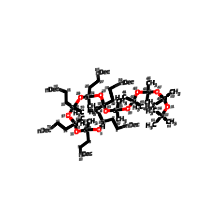 CCCCCCCCCCCC[SiH](C)O[Si](C)(CCCCCCCCCCCC)O[Si](C)(CCCCCCCCCCCC)O[Si](C)(CCCCCCCCCCCC)O[Si](C)(CCCCCCCCCCCC)O[Si](C)(CCCCCCCCCCCC)O[Si](C)(C)O[Si](C)(C)O[Si](C)(C)O[Si](C)(C)O[Si](C)(C)C